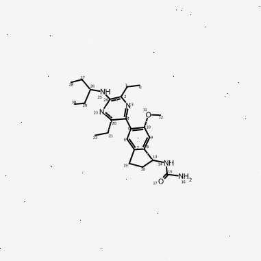 CCc1nc(-c2cc3c(cc2OC)C(NC(N)=O)CC3)c(CC)nc1NC(CC)CC